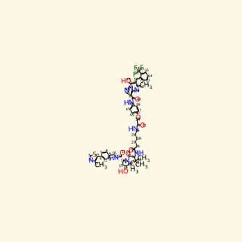 Cc1ncsc1-c1ccc(CNC(=O)[C@H]2C[C@H](O)CN2C(=O)[C@@H](NC(=O)CCCCCNC(=O)COc2ccc(NC(=O)c3cnn4c(O)c(Cc5ccccc5C(F)(F)F)c(C)nc34)cc2)C(C)(C)C)cc1